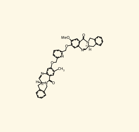 COc1cc2c(cc1OCc1cccc(COc3cc4c(cc3C)C(=O)N3Cc5ccccc5C[C@@H]3C=N4)n1)N=C[C@@H]1Cc3ccccc3CN1C2=O